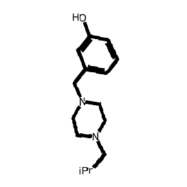 CC(C)CN1CCN(Cc2cccc(O)c2)CC1